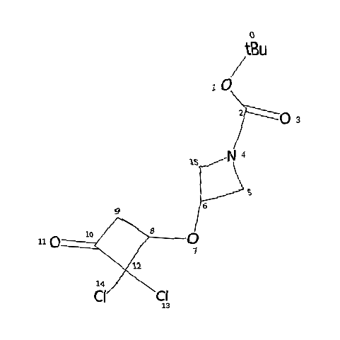 CC(C)(C)OC(=O)N1CC(OC2CC(=O)C2(Cl)Cl)C1